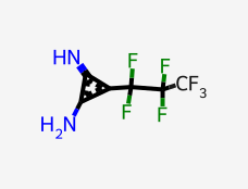 N=c1c(N)c1C(F)(F)C(F)(F)C(F)(F)F